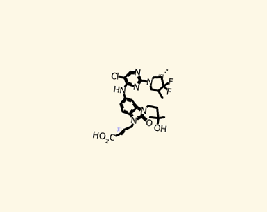 CC1CN(c2ncc(Cl)c(Nc3ccc4c(c3)n(CCC(C)(C)O)c(=O)n4C/C=C/C(=O)O)n2)C[C@H](C)C1(F)F